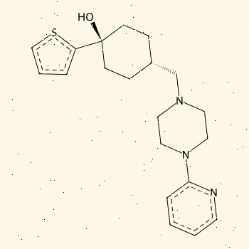 O[C@]1(c2cccs2)CC[C@@H](CN2CCN(c3ccccn3)CC2)CC1